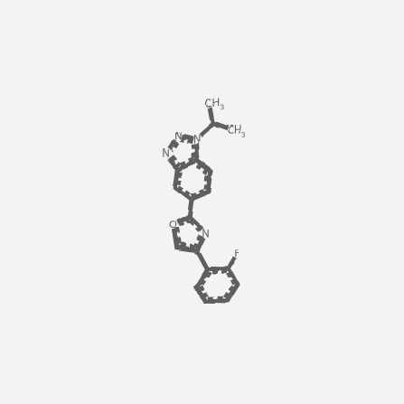 CC(C)n1nnc2cc(-c3nc(-c4ccccc4F)co3)ccc21